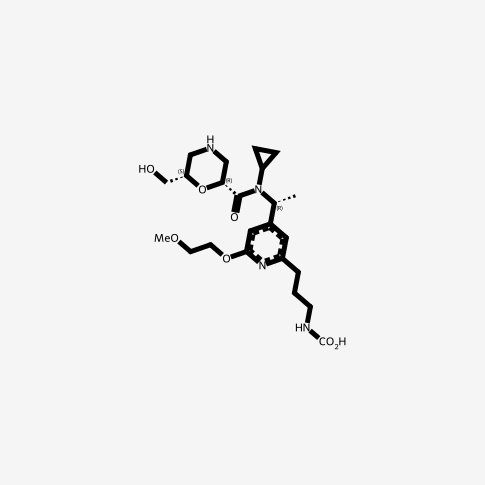 COCCOc1cc([C@@H](C)N(C(=O)[C@H]2CNC[C@@H](CO)O2)C2CC2)cc(CCCNC(=O)O)n1